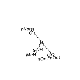 CCCCCCCCCOC(=O)CCCCCCCN(CCCCCCCC(=O)OC(CCCCCCCC)CCCCCCCC)CCCNC(=S)CNC